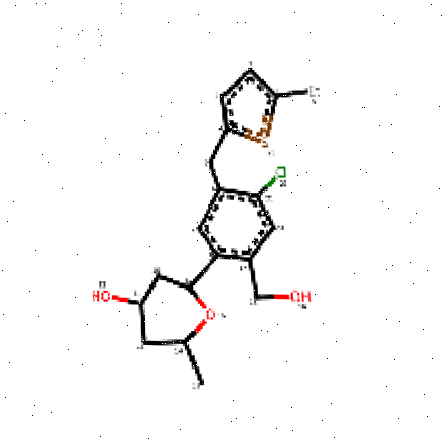 CCc1ccc(Cc2cc(C3CC(O)CC(C)O3)c(CO)cc2Cl)s1